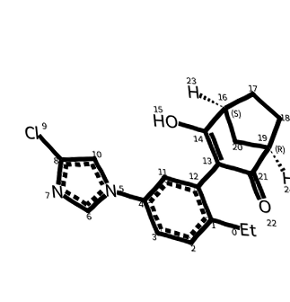 CCc1ccc(-n2cnc(Cl)c2)cc1C1=C(O)[C@H]2CC[C@H](C2)C1=O